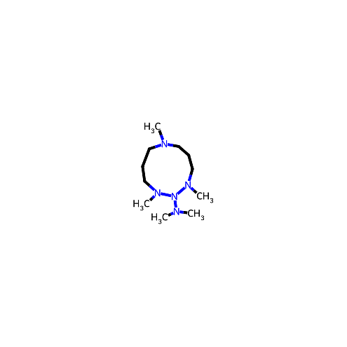 CN1CCCN(C)N(N(C)C)N(C)CCC1